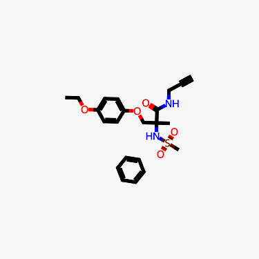 C#CCNC(=O)C(C)(COc1ccc(OCC)cc1)NS(C)(=O)=O.c1ccccc1